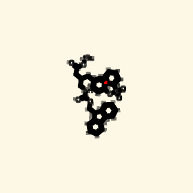 CC(C)(C)OC(=O)CC(CNC(=O)OCC1c2ccccc2-c2ccccc21)Cc1ccc(OS(=O)(=O)c2ccccc2)cc1